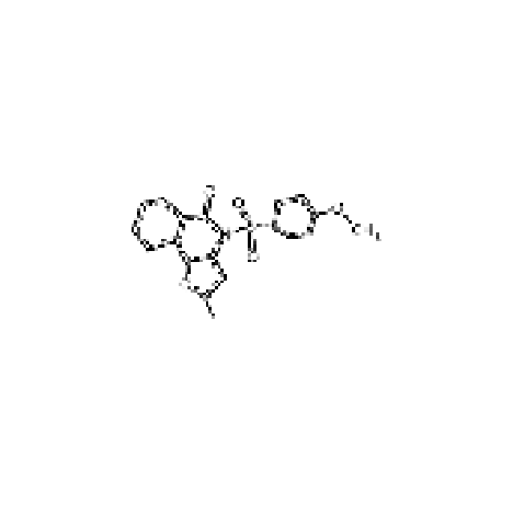 COc1ccc(S(=O)(=O)n2c(=O)c3ccccc3c3oc(I)cc32)cc1